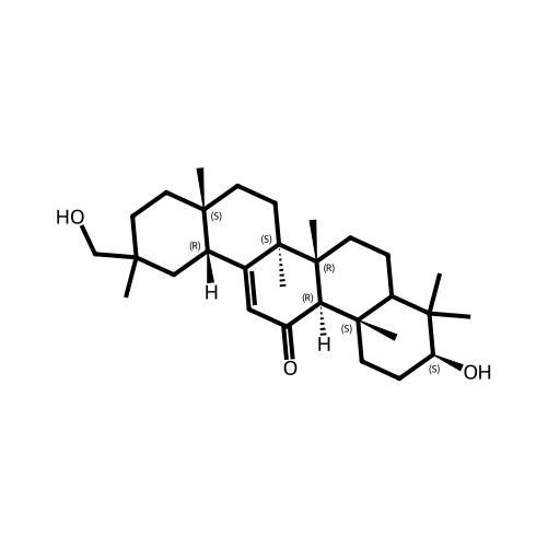 CC1(CO)CC[C@]2(C)CC[C@]3(C)C(=CC(=O)[C@@H]4[C@@]5(C)CC[C@H](O)C(C)(C)C5CC[C@]43C)[C@@H]2C1